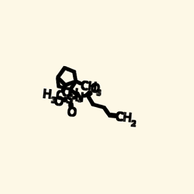 C=CCCC(=O)N1[C@]2(CC3CCC2(C)C3(C)C)S1(=O)=O